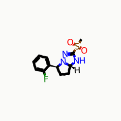 CS(=O)(=O)C1=NN2[C@@H](CC[C@H]2c2ccccc2F)N1